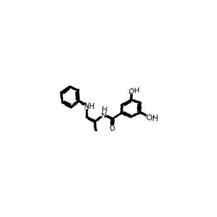 CC(CNc1ccccc1)NC(=O)c1cc(O)cc(O)c1